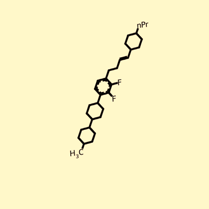 CCCC1CCC(/C=C/CCc2ccc(C3CCC(C4CCC(C)CC4)CC3)c(F)c2F)CC1